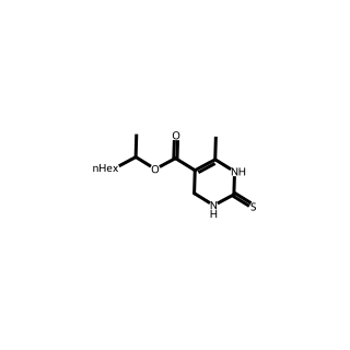 CCCCCCC(C)OC(=O)C1=C(C)NC(=S)NC1